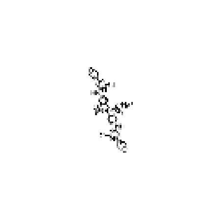 O=S(=O)([O-])c1cc(Nc2nc(Cl)nc(N3CCOCC3)n2)ccc1C=Cc1ccc(Nc2nc(Cl)nc(N3CCOCC3)n2)cc1S(=O)(=O)[O-].[Na+].[Na+]